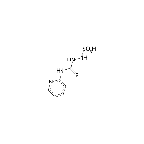 O=S(=O)(O)NNC(=S)Nc1ccccn1